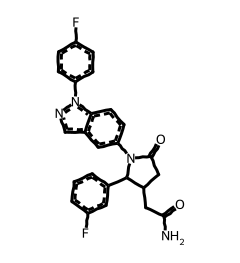 NC(=O)CC1CC(=O)N(c2ccc3c(cnn3-c3ccc(F)cc3)c2)C1c1cccc(F)c1